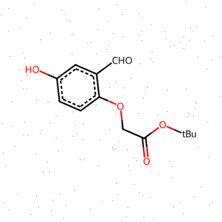 CC(C)(C)OC(=O)COc1ccc(O)cc1C=O